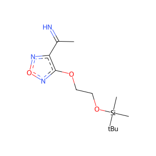 CC(=N)c1nonc1OCCO[Si](C)(C)C(C)(C)C